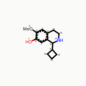 COc1cc2c(cc1O)C(C1CCC1)NCC2